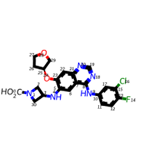 O=C(O)N1CC(Nc2cc3c(Nc4ccc(F)c(Cl)c4)ncnc3cc2O[C@H]2CCOC2)C1